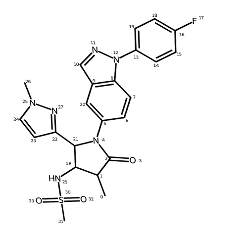 CC1C(=O)N(c2ccc3c(cnn3-c3ccc(F)cc3)c2)C(c2ccn(C)n2)C1NS(C)(=O)=O